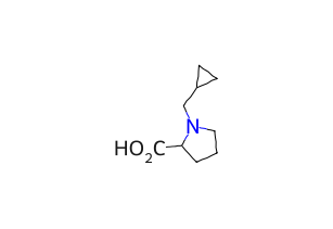 O=C(O)C1CCCN1CC1CC1